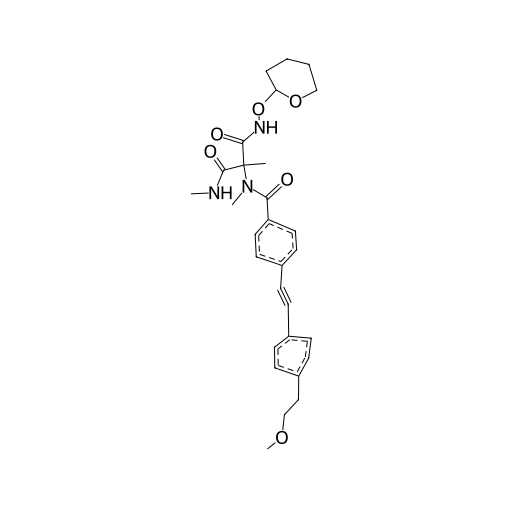 CNC(=O)C(C)(C(=O)NOC1CCCCO1)N(C)C(=O)c1ccc(C#Cc2ccc(CCOC)cc2)cc1